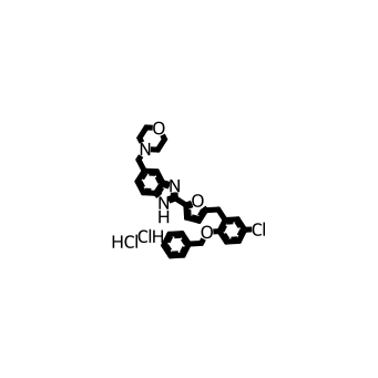 Cl.Cl.Clc1ccc(OCc2ccccc2)c(Cc2ccc(-c3nc4cc(CN5CCOCC5)ccc4[nH]3)o2)c1